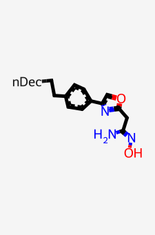 CCCCCCCCCCCCc1ccc(-c2coc(C/C(N)=N/O)n2)cc1